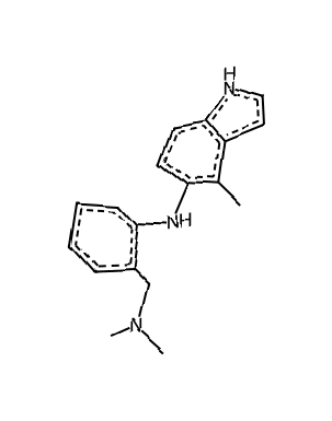 Cc1c(Nc2ccccc2CN(C)C)ccc2[nH]ccc12